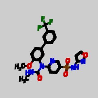 CNC(=O)N(c1ccc(S(=O)(=O)Nc2ccon2)cn1)c1cc(-c2cccc(C(F)(F)F)c2)ccc1OC